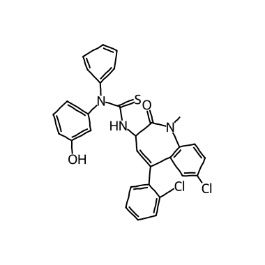 CN1C(=O)C(NC(=S)N(c2ccccc2)c2cccc(O)c2)C=C(c2ccccc2Cl)c2cc(Cl)ccc21